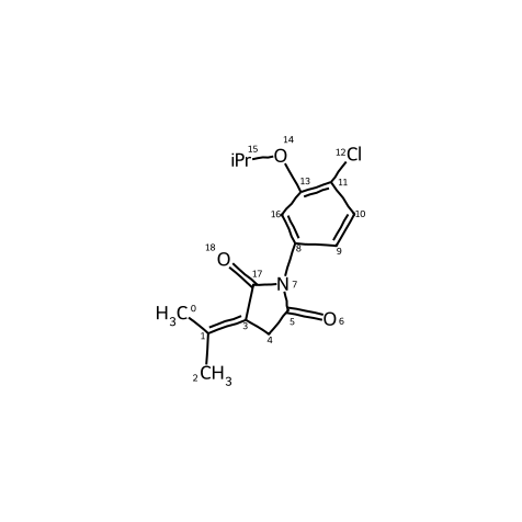 CC(C)=C1CC(=O)N(c2ccc(Cl)c(OC(C)C)c2)C1=O